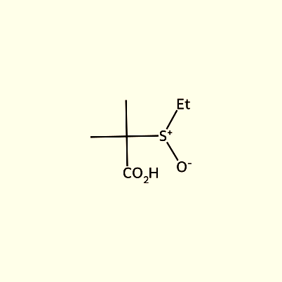 CC[S+]([O-])C(C)(C)C(=O)O